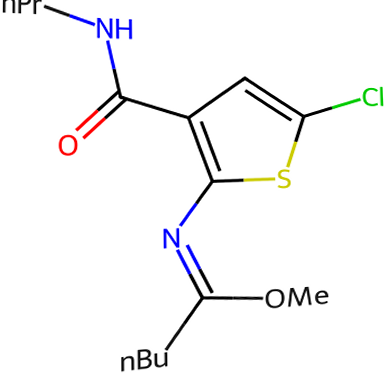 CCCCC(=Nc1sc(Cl)cc1C(=O)NCCC)OC